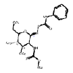 CC(=O)OCC1O/C(=N\OC(=O)Nc2ccccc2)C(NC(=O)OC(C)(C)C)[C@@H](OC(C)=O)[C@@H]1OC(C)=O